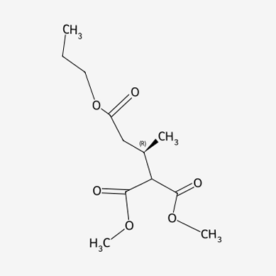 CCCOC(=O)C[C@@H](C)C(C(=O)OC)C(=O)OC